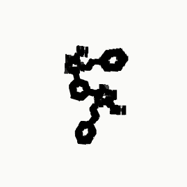 Sc1nnc(-c2cccc(-c3nnc(S)n3CCc3ccccc3)c2)n1CCc1ccccc1